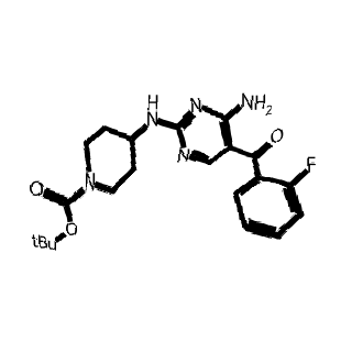 CC(C)(C)OC(=O)N1CCC(Nc2ncc(C(=O)c3ccccc3F)c(N)n2)CC1